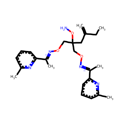 C=C(CC)CC(CO/N=C(\C)c1cccc(C)n1)(CO/N=C(\C)c1cccc(C)n1)ON